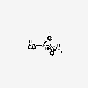 Cn1nc(NC(CCN(CCCCc2ccc3c(n2)NCCC3)CCOc2cncc(F)c2)C(=O)O)c2ccccc21